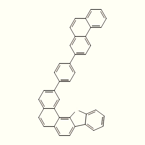 c1ccc2c(c1)ccc1cc(-c3ccc(-c4ccc5ccc6ccc7c8ccccc8sc7c6c5c4)cc3)ccc12